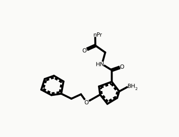 Bc1ccc(OCCc2ccccc2)cc1C(=O)NCC(=O)CCC